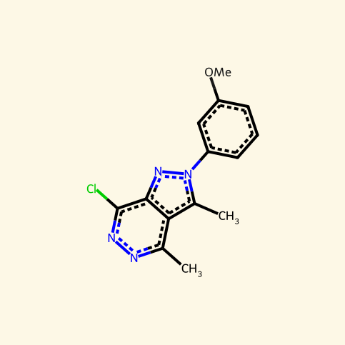 COc1cccc(-n2nc3c(Cl)nnc(C)c3c2C)c1